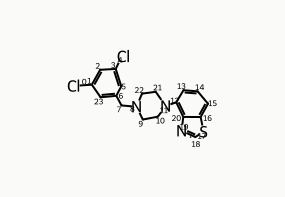 Clc1cc(Cl)cc(CN2CCN(c3cccc4s[c]nc34)CC2)c1